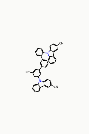 N#Cc1cc(-c2cccc(-c3ccccc3-n3c4ccccc4c4cc(C#N)ccc43)c2)cc(-n2c3ccccc3c3cc(C#N)ccc32)c1